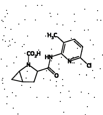 Cc1ccc(Cl)nc1NC(=O)C1CC2CC2N1C(=O)O